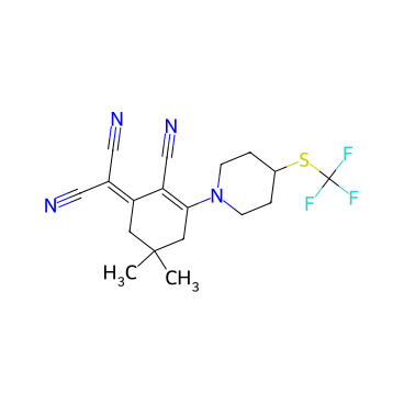 CC1(C)CC(=C(C#N)C#N)C(C#N)=C(N2CCC(SC(F)(F)F)CC2)C1